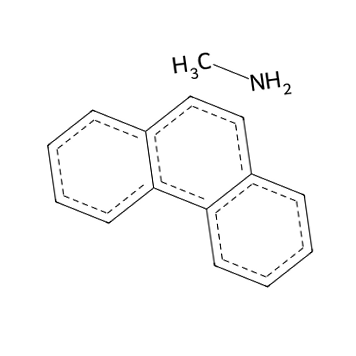 CN.c1ccc2c(c1)ccc1ccccc12